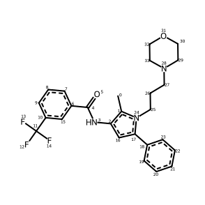 Cc1c(NC(=O)c2cccc(C(F)(F)F)c2)cc(-c2ccccc2)n1CCCN1CCOCC1